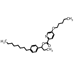 CCCCCCCCc1ccc(C(CC)OC(=O)c2ccc(OCCCCC)cn2)cc1